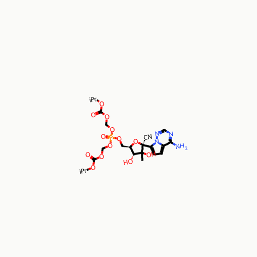 CC(C)OC(=O)OCOP(=O)(OCOC(=O)OC(C)C)OC[C@H]1O[C@@](C#N)(c2ccc3c(N)ncnn23)C(C)(O)[C@@H]1O